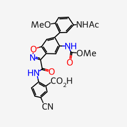 COC(=O)Nc1cc2c(C(=O)Nc3ccc(C#N)cc3C(=O)O)noc2cc1-c1cc(NC(C)=O)ccc1OC